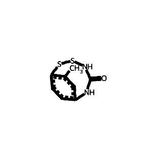 Cc1cc2ccc1SSNC(=O)N2